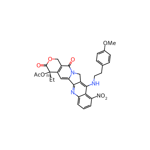 CC[C@@]1(OC(C)=O)C(=O)OCc2c1cc1n(c2=O)Cc2c-1nc1cccc([N+](=O)[O-])c1c2NCCc1ccc(OC)cc1